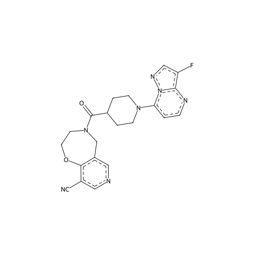 N#Cc1cncc2c1OCCN(C(=O)C1CCN(c3ccnc4c(F)cnn34)CC1)C2